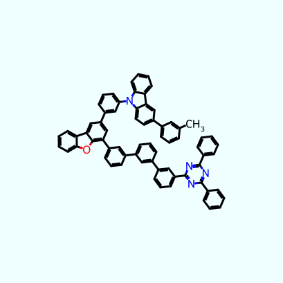 Cc1cccc(-c2ccc3c(c2)c2ccccc2n3-c2cccc(-c3cc(-c4cccc(-c5cccc(-c6cccc(-c7nc(-c8ccccc8)nc(-c8ccccc8)n7)c6)c5)c4)c4oc5ccccc5c4c3)c2)c1